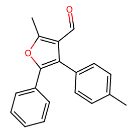 Cc1ccc(-c2c(-c3ccccc3)oc(C)c2C=O)cc1